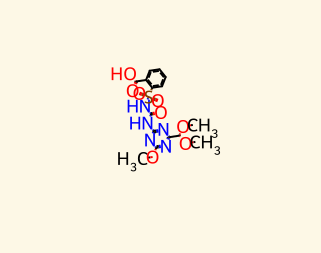 COc1nc(NC(=O)NS(=O)(=O)c2ccccc2C(=O)O)nc(C(OC)OC)n1